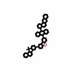 CC1(C)c2ccc(-c3ccc4oc5ccc(-c6c7ccccc7c(-c7cccc8c7ccc7cc9ccccc9cc78)c7ccccc67)cc5c4c3)cc2-c2ccc3ccccc3c21